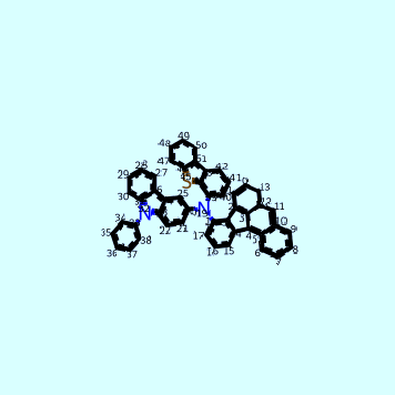 C1=CC2=C3C(=c4ccccc4=CC3C1)c1cccc(N(c3ccc4c(c3)c3ccccc3n4-c3ccccc3)c3cccc4c3sc3ccccc34)c12